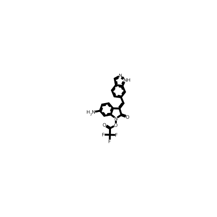 Nc1ccc2c(c1)N(OC(=O)C(F)(F)F)C(=O)/C2=C/c1ccc2cn[nH]c2c1